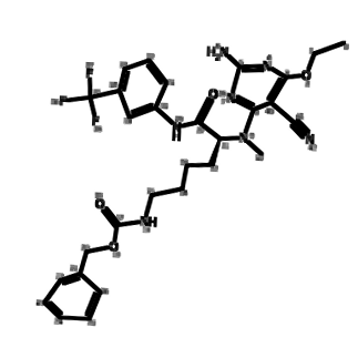 CCOc1nc(N)nc(N(C)[C@@H](CCCCNC(=O)OCc2ccccc2)C(=O)Nc2cccc(C(F)(F)F)c2)c1C#N